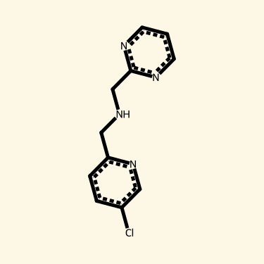 Clc1ccc(CNCc2ncccn2)nc1